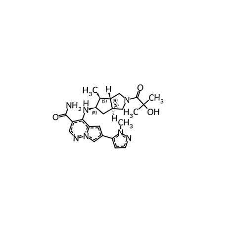 C[C@H]1[C@@H]2CN(C(=O)C(C)(C)O)C[C@H]2C[C@H]1Nc1c(C(N)=O)cnn2cc(-c3ccnn3C)cc12